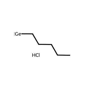 CCCC[CH2][Ge].Cl